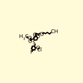 C#CCCCCOCC1COC2(C=C(C(=O)OCC)C(SCc3ccc(F)cc3OCl)CC2)O1